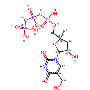 O=c1[nH]c(=O)n([C@@H]2O[C@](F)(COP(=O)(O)OP(=O)(O)OP(=O)(O)O)C[C@H]2O)cc1CO